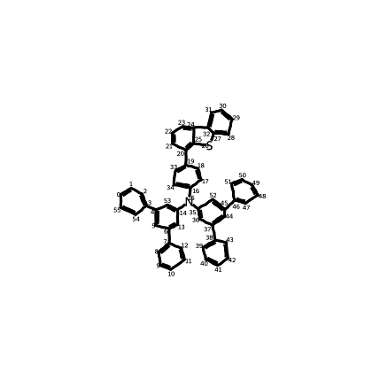 c1ccc(-c2cc(-c3ccccc3)cc(N(c3ccc(-c4cccc5c4sc4ccccc45)cc3)c3cc(-c4ccccc4)cc(-c4ccccc4)c3)c2)cc1